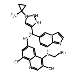 CC(C)(C)CNc1c(C#N)cnc2c(Cl)cc(N[C@H](C3=CN(C4(C(F)(F)F)CC4)NN3)c3ccc4nccn4c3)cc12